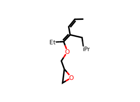 C/C=C\C(CC(C)C)=C(/CC)OCC1CO1